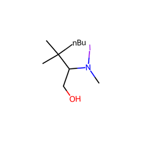 CCCCC(C)(C)C(CO)N(C)I